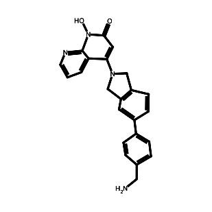 NCc1ccc(-c2ccc3c(c2)CN(c2cc(=O)n(O)c4ncccc24)C3)cc1